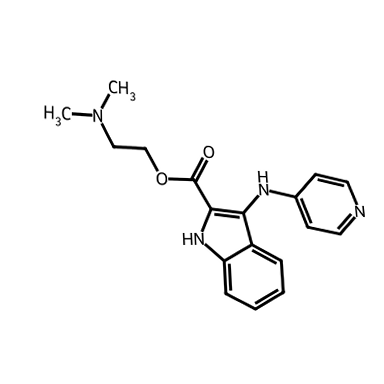 CN(C)CCOC(=O)c1[nH]c2ccccc2c1Nc1ccncc1